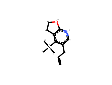 C=CCc1cnc2c(c1[Si](C)(C)C)CCO2